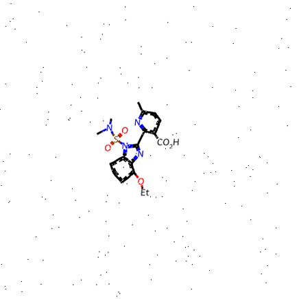 CCOc1cccc2c1nc(-c1nc(C)ccc1C(=O)O)n2S(=O)(=O)N(C)C